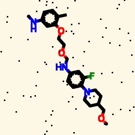 CNc1ccc(C)c(OCCOCNc2ccc(N3CCC(COC)CC3)c(F)c2)c1